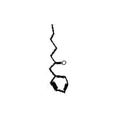 [CH2]CCCCC(=O)Cc1ccccc1